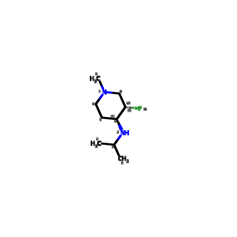 CC(C)N[C@H]1CCN(C)C[C@@H]1F